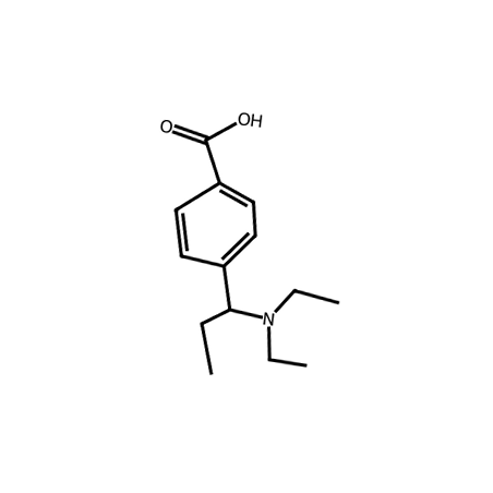 CCC(c1ccc(C(=O)O)cc1)N(CC)CC